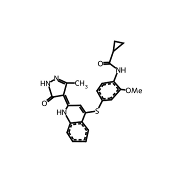 COc1cc(SC2=CC(=C3C(=O)NN=C3C)Nc3ccccc32)ccc1NC(=O)C1CC1